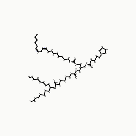 CCCCC/C=C\C/C=C\CCCCCCCCOC(=O)OCC(COC(=O)CCCCCCC(=O)OC(CCCCCCCC)CCCCCCCC)COC(=O)OCCCN1CCCC1